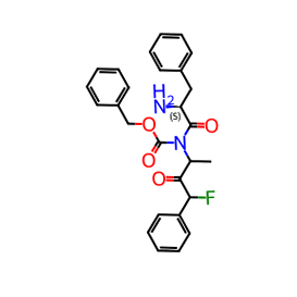 CC(C(=O)C(F)c1ccccc1)N(C(=O)OCc1ccccc1)C(=O)[C@@H](N)Cc1ccccc1